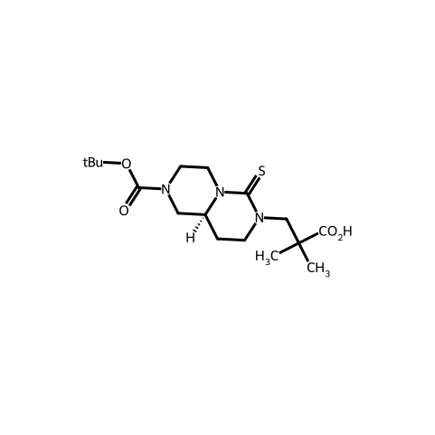 CC(C)(C)OC(=O)N1CCN2C(=S)N(CC(C)(C)C(=O)O)CC[C@H]2C1